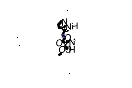 CCOC(=O)C1=C(NC)O/C(=C\c2c[nH]c3ncccc23)C1=O